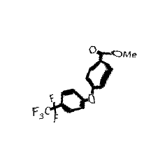 COC(=O)c1ccc(Oc2ccc(C(F)(F)C(F)(F)F)cc2)cc1